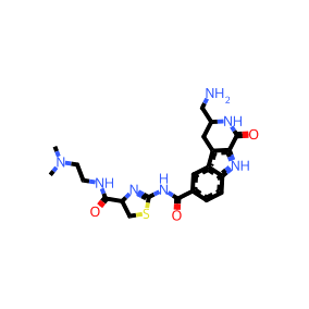 CN(C)CCNC(=O)C1CSC(NC(=O)c2ccc3[nH]c4c(c3c2)CC(CN)NC4=O)=N1